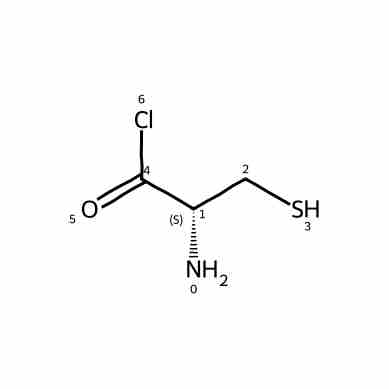 N[C@@H](CS)C(=O)Cl